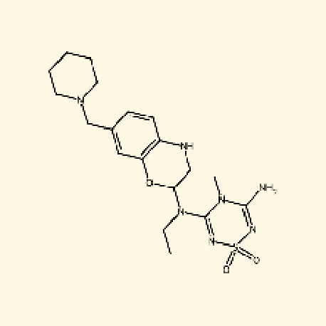 CCN(C1=NS(=O)(=O)N=C(N)N1C)C1CNc2ccc(CN3CCCCC3)cc2O1